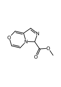 COC(=O)C1N=CC2=COC=CN21